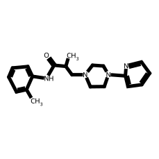 Cc1ccccc1NC(=O)C(C)CN1CCN(c2ccccn2)CC1